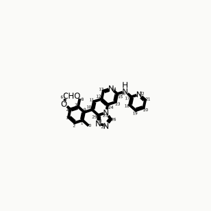 Cc1ccc(OC=O)c(C)c1-c1cc2cnc(Nc3ccccn3)cc2n2cnnc12